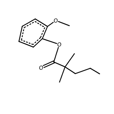 CCCC(C)(C)C(=O)Oc1ccccc1OC